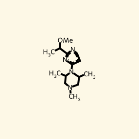 COC(C)c1nccc(N2C(C)CN(C)CC2C)n1